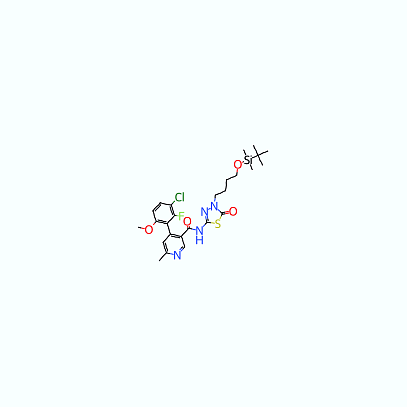 COc1ccc(Cl)c(F)c1-c1cc(C)ncc1C(=O)Nc1nn(CCCCO[Si](C)(C)C(C)(C)C)c(=O)s1